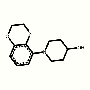 OC1CCN(c2cccc3c2SCCO3)CC1